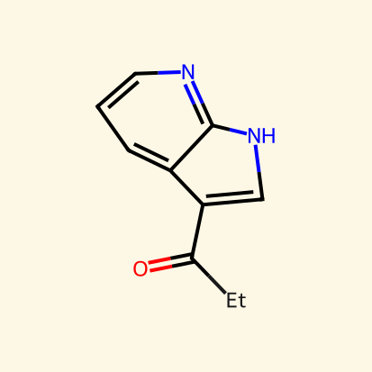 CCC(=O)c1c[nH]c2ncccc12